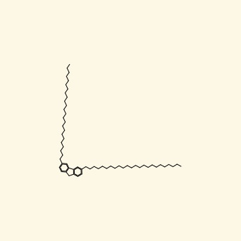 CCCCCCCCCCCCCCCCCCCCCCCCc1ccc2c(c1)-c1cc(CCCCCCCCCCCCCCCCCCCCCCCC)ccc1C2